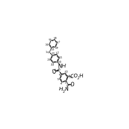 NC(=O)c1ccc(C(=O)Nc2ccc(Cc3ccccc3)cc2)cc1C(=O)O